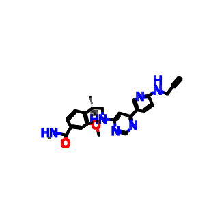 C#CCNc1ccc(-c2cc(NC[C@@H](C)c3ccc(C(=O)NC)cc3OC)ncn2)cn1